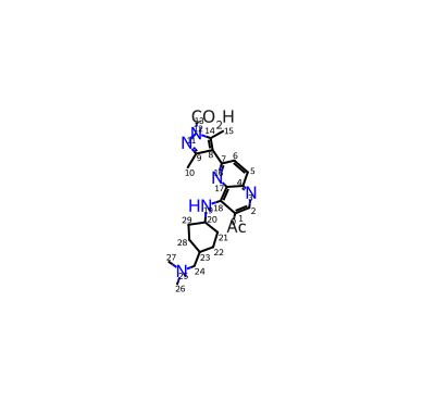 CC(=O)c1cnc2ccc(-c3c(C)nn(C(=O)O)c3C)nc2c1NC1CCC(CN(C)C)CC1